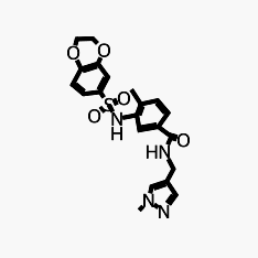 Cc1ccc(C(=O)NCc2cnn(C)c2)cc1NS(=O)(=O)c1ccc2c(c1)OCCO2